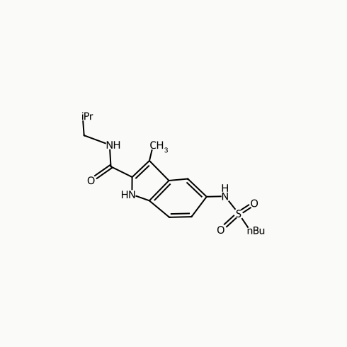 CCCCS(=O)(=O)Nc1ccc2[nH]c(C(=O)NCC(C)C)c(C)c2c1